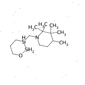 CC1CCN(C[SiH]2CCCO[SiH2]2)C(C)(C)C1(C)C